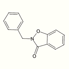 O=c1c2ccccc2on1Cc1ccccc1